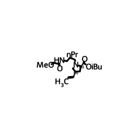 CC=C[C@@H]1C[C@H](C(=O)OCC(C)C)N(CC(CCC)CNC(=O)COC)C1